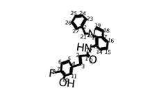 O=C(C=Cc1ccc(F)c(O)c1)Nc1cccc2ccn(Cc3ccccc3)c12